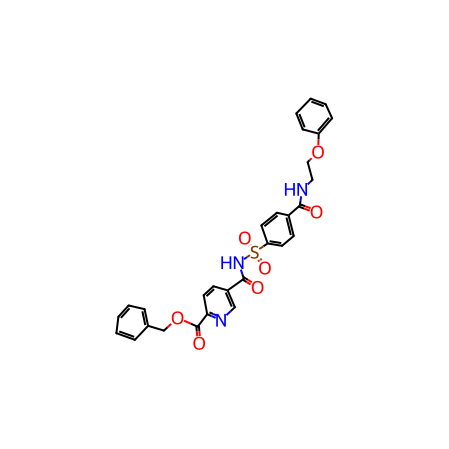 O=C(NCCOc1ccccc1)c1ccc(S(=O)(=O)NC(=O)c2ccc(C(=O)OCc3ccccc3)nc2)cc1